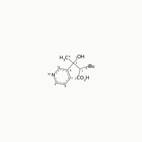 CCC(C)C(C(=O)O)C(C)(O)c1cccnc1